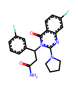 NC(=O)CC(c1cccc(F)c1)n1c(N2CCCC2)nc2cc(F)ccc2c1=O